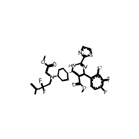 C=C(C)C(F)(F)CN(CC(=O)OC)[C@H]1CC[C@H](C2=C(C(=O)OC)C(c3ccc(F)c(F)c3Cl)N=C(c3nccs3)N2)CC1